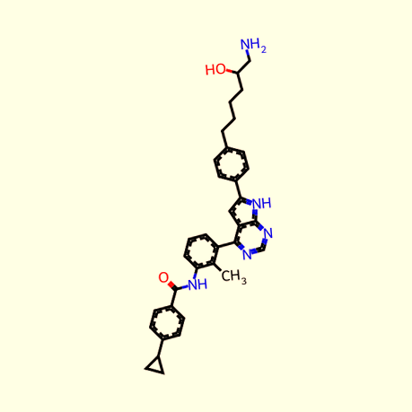 Cc1c(NC(=O)c2ccc(C3CC3)cc2)cccc1-c1ncnc2[nH]c(-c3ccc(CCCCC(O)CN)cc3)cc12